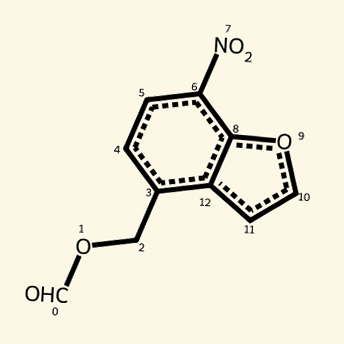 O=COCc1ccc([N+](=O)[O-])c2occc12